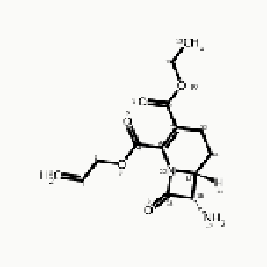 C=CCOC(=O)C1=C(C(=O)OCC)CC[C@@H]2[C@H](N)C(=O)N12